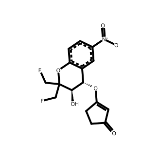 O=C1C=C(O[C@H]2c3cc([N+](=O)[O-])ccc3OC(CF)(CF)[C@@H]2O)CC1